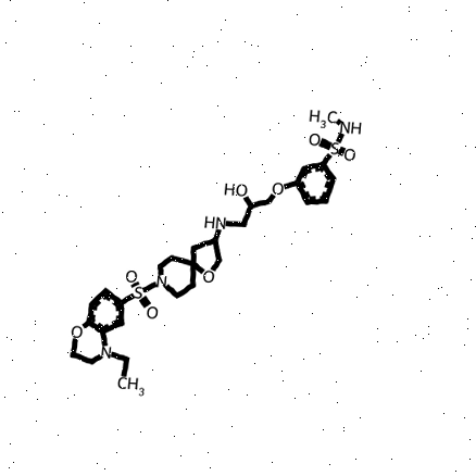 CCN1CCOc2ccc(S(=O)(=O)N3CCC4(CC3)CC(NCC(O)COc3cccc(S(=O)(=O)NC)c3)CO4)cc21